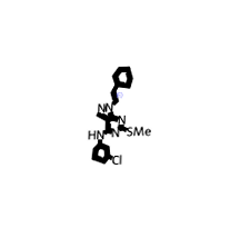 CSc1nc(Nc2cccc(Cl)c2)c2cnn(/C=C/c3ccccc3)c2n1